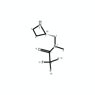 CN(C[C@@H]1CCN1)C(=O)C(F)(F)F